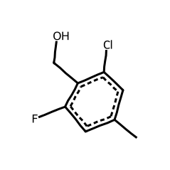 Cc1cc(F)c(CO)c(Cl)c1